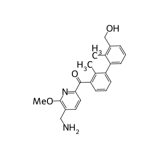 COc1nc(C(=O)c2cccc(-c3cccc(CO)c3C)c2C)ccc1CN